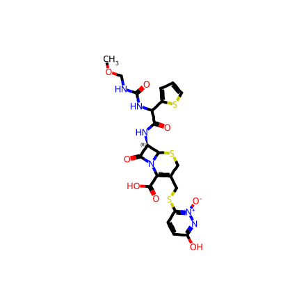 COCNC(=O)NC(C(=O)N[C@@H]1C(=O)N2C(C(=O)O)=C(CSc3ccc(O)n[n+]3[O-])CSC12)c1cccs1